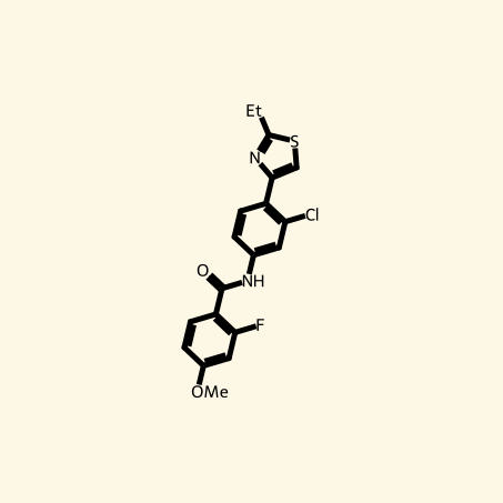 CCc1nc(-c2ccc(NC(=O)c3ccc(OC)cc3F)cc2Cl)cs1